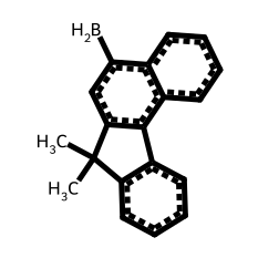 Bc1cc2c(c3ccccc13)-c1ccccc1C2(C)C